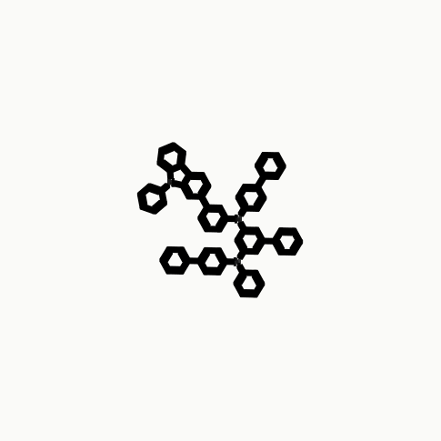 c1ccc(-c2ccc(N(c3ccccc3)c3cc(-c4ccccc4)cc(N(c4ccc(-c5ccccc5)cc4)c4cccc(-c5ccc6c7ccccc7n(-c7ccccc7)c6c5)c4)c3)cc2)cc1